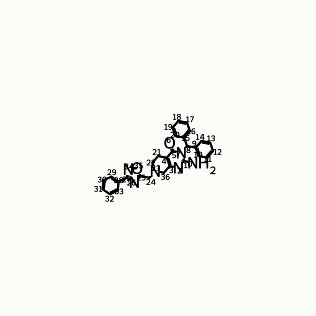 Nc1nc2c(c(=O)n1C(c1ccccc1)c1ccccc1)CCN(Cc1nc(-c3ccccc3)no1)C2